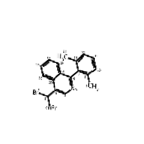 CCCC(Br)c1cnc(-c2c(C)[c]ccc2C)c2ccccc12